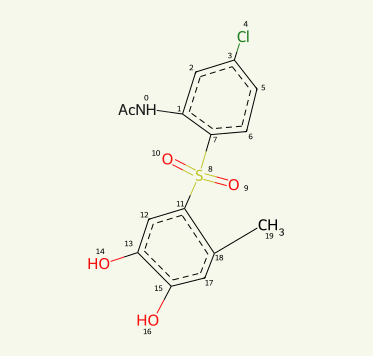 CC(=O)Nc1cc(Cl)ccc1S(=O)(=O)c1cc(O)c(O)cc1C